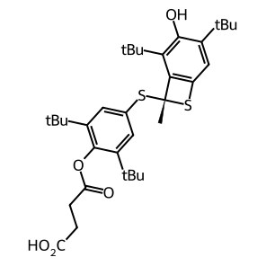 CC(C)(C)c1cc2c(c(C(C)(C)C)c1O)[C@@](C)(Sc1cc(C(C)(C)C)c(OC(=O)CCC(=O)O)c(C(C)(C)C)c1)S2